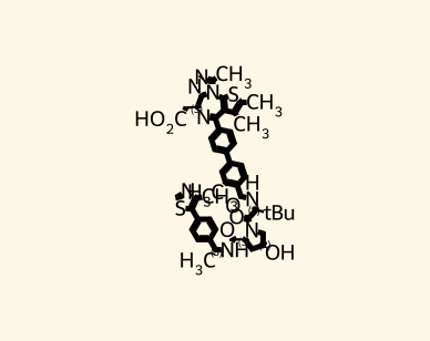 Cc1cc(-c2ccc(C3=N[C@@H](CC(=O)O)c4nnc(C)n4-c4sc(C)c(C)c43)cc2)ccc1C(=O)N[C@H](C(=O)N1C[C@H](O)C[C@H]1C(=O)N[C@@H](C)c1ccc(-c2scnc2C)cc1)C(C)(C)C